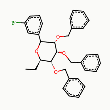 CC[C@H]1OC(c2cccc(Br)c2)[C@H](OCc2ccccc2)[C@@H](OCc2ccccc2)[C@@H]1OCc1ccccc1